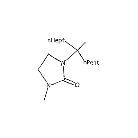 CCCCCCCC(C)(CCCCC)N1CCN(C)C1=O